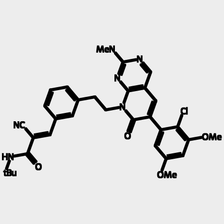 CNc1ncc2cc(-c3cc(OC)cc(OC)c3Cl)c(=O)n(CCc3cccc(/C=C(\C#N)C(=O)NC(C)(C)C)c3)c2n1